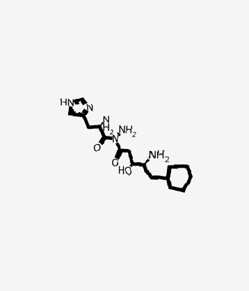 N[C@@H](Cc1c[nH]cn1)C(=O)N(N)C(=O)C[C@H](O)[C@@H](N)CC1CCCCC1